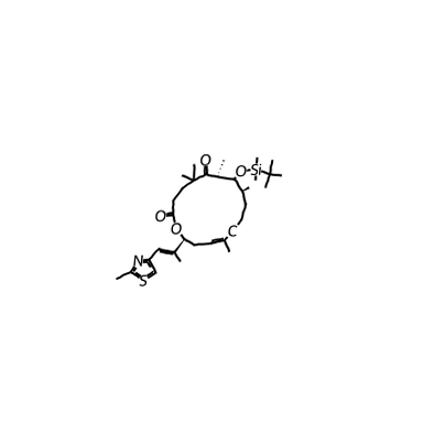 C/C1=C/C[C@@H](/C(C)=C/c2csc(C)n2)OC(=O)CCC(C)(C)C(=O)[C@H](C)[C@@H](O[Si](C)(C)C(C)(C)C)[C@@H](C)CCC1